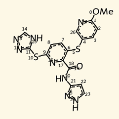 COc1ccc(Sc2ccc(Sc3nnc[nH]3)nc2C(=O)Nc2cc[nH]n2)cn1